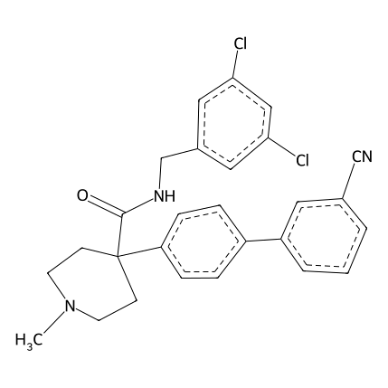 CN1CCC(C(=O)NCc2cc(Cl)cc(Cl)c2)(c2ccc(-c3cccc(C#N)c3)cc2)CC1